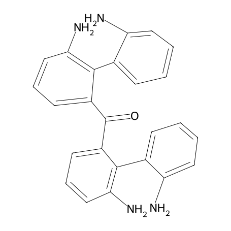 Nc1ccccc1-c1c(N)cccc1C(=O)c1cccc(N)c1-c1ccccc1N